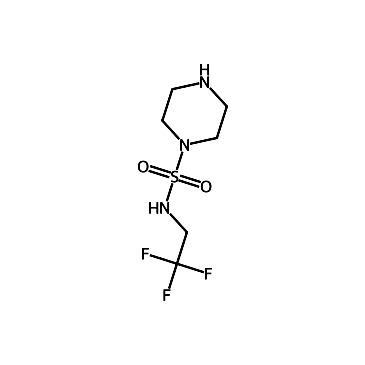 O=S(=O)(NCC(F)(F)F)N1CCNCC1